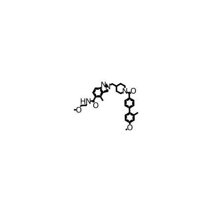 COCCNC(=O)c1ccc2nn(CC3CCN(C(=O)c4ccc(-c5ccc(OC)cc5C)cc4)CC3)cc2c1C